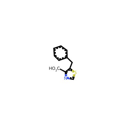 O=C(O)c1ncsc1Cc1ccccc1